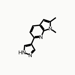 Cc1cc2ccc(-c3cn[nH]c3)nc2n1C